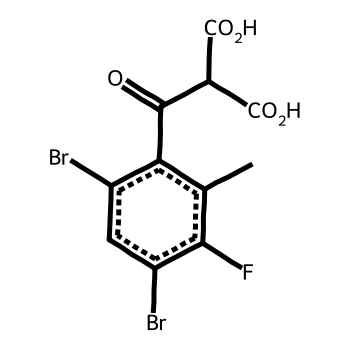 Cc1c(F)c(Br)cc(Br)c1C(=O)C(C(=O)O)C(=O)O